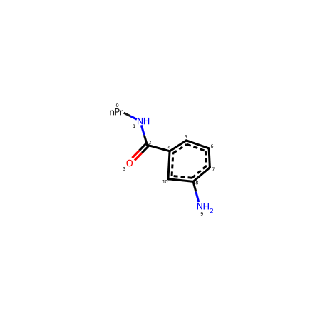 CCCNC(=O)c1cccc(N)c1